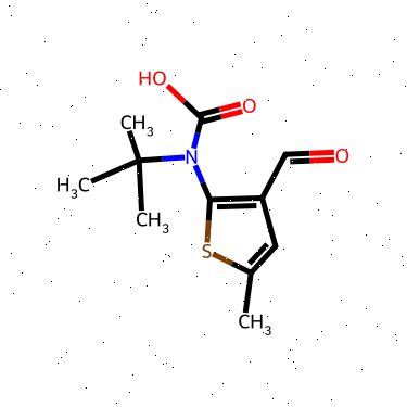 Cc1cc(C=O)c(N(C(=O)O)C(C)(C)C)s1